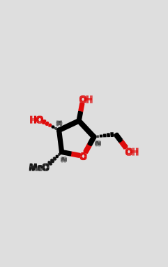 CO[C@H]1O[C@@H](CO)C(O)[C@H]1O